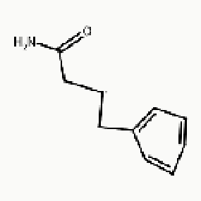 NC(=O)C[CH]Cc1ccccc1